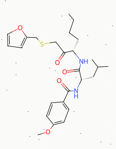 CCCC[C@H](NC(=O)[C@H](CC(C)C)NC(=O)c1ccc(OC)cc1)C(=O)CSCc1ccco1